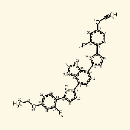 C#COc1ccc(-c2ccc(-c3ccc(-c4ccc(-c5ccc(OCC)cc5F)s4)c4nsnc34)s2)c(F)c1